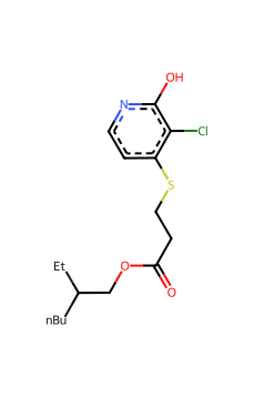 CCCCC(CC)COC(=O)CCSc1ccnc(O)c1Cl